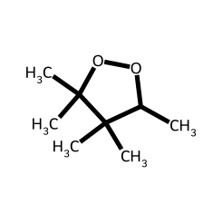 CC1OOC(C)(C)C1(C)C